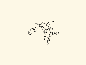 Cc1cc([C@@H](C)Nc2ccc(Cl)nc2C(=O)O)c2nc(N3CCC4(CC5CCC4C5)C3)c(C#N)nc2c1